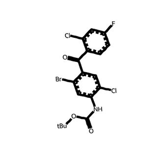 CC(C)(C)OC(=O)Nc1cc(Br)c(C(=O)c2ccc(F)cc2Cl)cc1Cl